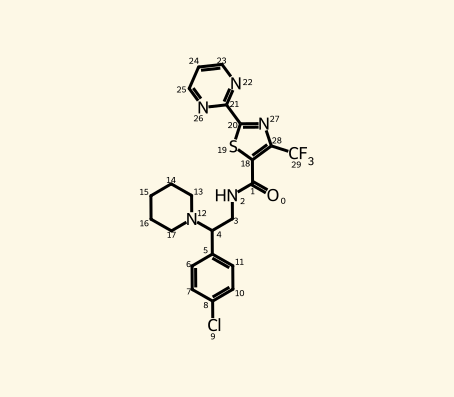 O=C(NCC(c1ccc(Cl)cc1)N1CCCCC1)c1sc(-c2ncccn2)nc1C(F)(F)F